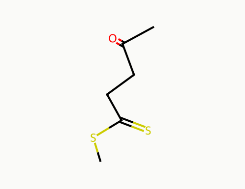 CSC(=S)CCC(C)=O